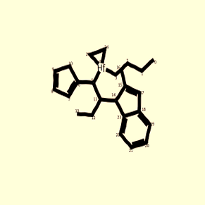 CCC[CH2][Hf]1([CH](C2=CC=CC2)C(CC)C2C(C)=Cc3ccccc32)[CH2][CH2]1